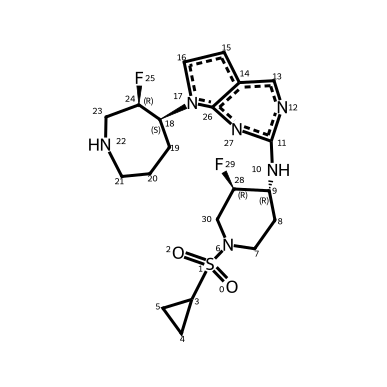 O=S(=O)(C1CC1)N1CC[C@@H](Nc2ncc3ccn([C@H]4CCCNC[C@H]4F)c3n2)[C@H](F)C1